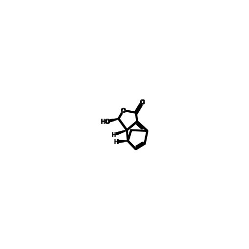 O=C1O[C@H](O)[C@@H]2C1=C1C=C[C@H]2C1